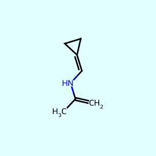 C=C(C)NC=C1CC1